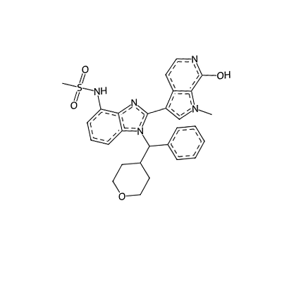 Cn1cc(-c2nc3c(NS(C)(=O)=O)cccc3n2C(c2ccccc2)C2CCOCC2)c2ccnc(O)c21